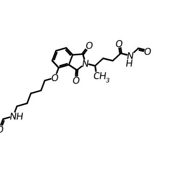 CC(CCC(=O)NC=O)N1C(=O)c2cccc(OCCCCCNC=O)c2C1=O